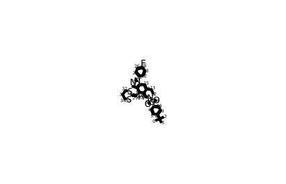 CC(C)(C)c1ccc(S(=O)(=O)N2CCC3=Cc4c(cnn4-c4ccc(F)cc4)[C@H](C=C4SCCCS4)[C@H]3C2)cc1